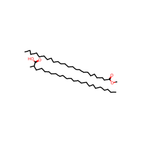 CCCCCCCCCCCCCCCCCCCCCCC(C)C(=O)O.CCCCCCCCCCCCCCCCCCCCCCCC(=O)OC